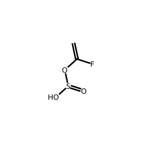 C=C(F)OS(=O)O